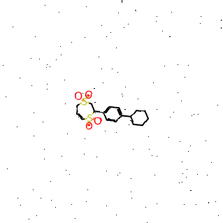 O=S1(=O)CC=CS(=O)(=O)C(c2ccc(C3CCCCC3)cc2)C1